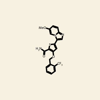 COc1ccc2ncc(-c3cc(OCc4ccccc4C(F)(F)F)c(C(N)=O)s3)n2c1